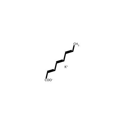 CC=CC=CC=CC(=O)[O-].[K+]